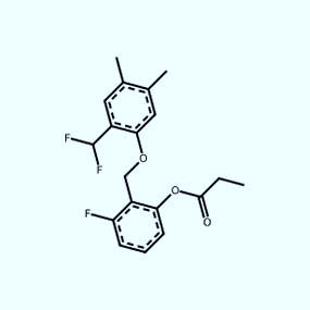 CCC(=O)Oc1cccc(F)c1COc1cc(C)c(C)cc1C(F)F